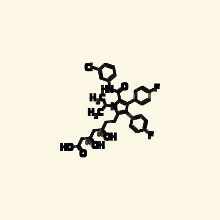 CC(C)n1c(CC[C@@H](O)C[C@@H](O)CC(=O)O)c(-c2ccc(F)cc2)c(-c2ccc(F)cc2)c1C(=O)Nc1cccc(Cl)c1